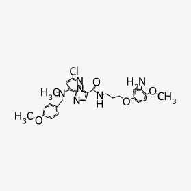 COc1ccc(CN(C)c2cc(Cl)nn3c(C(=O)NCCCOc4ccc(OC)c(N)c4)cnc23)cc1